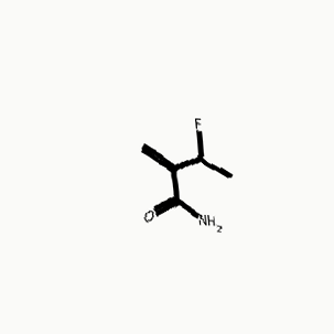 C=C(C(N)=O)C(C)F